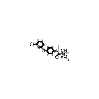 C[N+](C)([O-])C(=O)Nc1ccc(Oc2cccc(Cl)n2)cc1